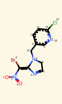 O=[N+]([O-])C(Br)=C1N=CCN1Cc1ccc(Cl)nc1